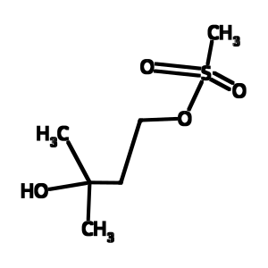 CC(C)(O)CCOS(C)(=O)=O